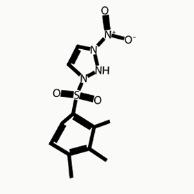 Cc1ccc(S(=O)(=O)N2C=CN([N+](=O)[O-])N2)c(C)c1C